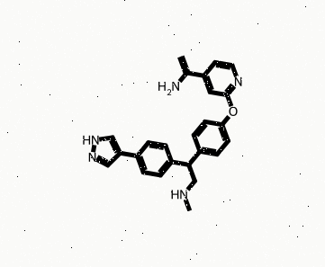 C=C(N)c1ccnc(Oc2ccc(C(CNC)c3ccc(-c4cn[nH]c4)cc3)cc2)c1